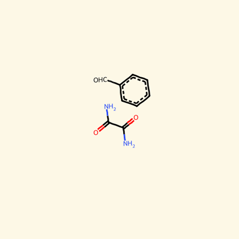 NC(=O)C(N)=O.O=Cc1ccccc1